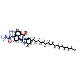 CCCCCCCCCCCCCCCCCCc1ccc2nc3c4ccc(NC(N)=O)c5cccc(c(=O)n3c2c1)c54